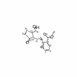 COC(=O)c1cccnc1SCC1C(=O)CCC1CO